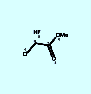 COC(=O)CCl.F